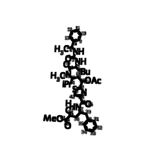 CCC(C)C(NC(=O)NC(C)c1ccccc1)C(=O)N(C)C(CC(OC(C)=O)c1nc(C(=O)NC(Cc2ccccc2)CC(C)C(=O)OC)cs1)C(C)C